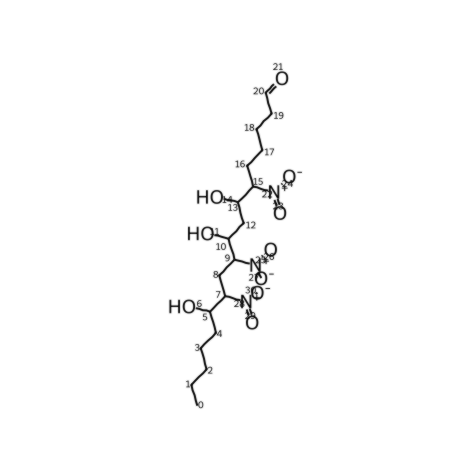 CCCCCC(O)C(CC(C(O)CC(O)C(CCCCC=O)[N+](=O)[O-])[N+](=O)[O-])[N+](=O)[O-]